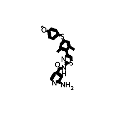 COc1ccc(Sc2cc(C)c(-c3csc(NC(=O)c4ccnc(N)c4)n3)c(C)c2)cc1